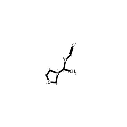 CC(OC=O)N1CCOC1